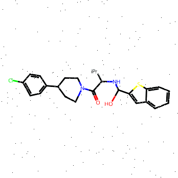 CC(C)C(NC(O)c1cc2ccccc2s1)C(=O)N1CCC(c2ccc(Cl)cc2)CC1